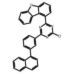 Clc1nc(-c2cccc(-c3cccc4ccccc34)c2)nc(-c2cccc3oc4ccccc4c23)n1